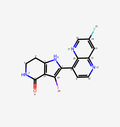 O=C1NCCc2[nH]c(-c3ccnc4cc(F)cnc34)c(I)c21